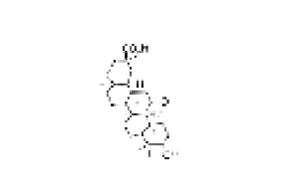 CC1(C)C2CC[C@]3(C)[C@H](C(=O)C=C4[C@@H]5C[C@](C)(C(=O)O)CC[C@]5(C)CC[C@]43C)[C@@]2(C)CC[C@@H]1O